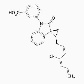 C=C/C=C(Cl)\C=C/C[C@@H]1C[C@@]12C(=O)N(c1cccc(C(=O)O)c1)c1ccccc12